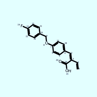 C=CC(=Cc1ccc(OCc2ccc(F)cc2)cc1)C(=O)O